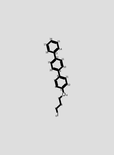 ICCCOc1ccc(-c2ccc(-c3ccccc3)cc2)cc1